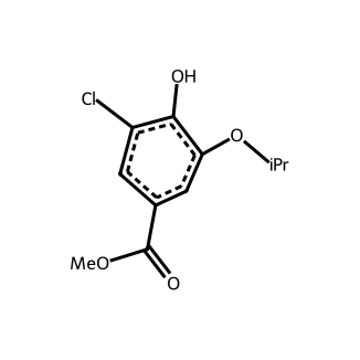 COC(=O)c1cc(Cl)c(O)c(OC(C)C)c1